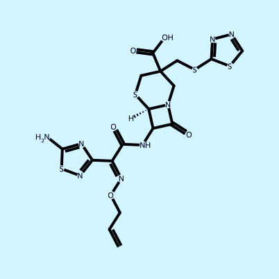 C=CCON=C(C(=O)NC1C(=O)N2CC(CSc3nncs3)(C(=O)O)CS[C@H]12)c1nsc(N)n1